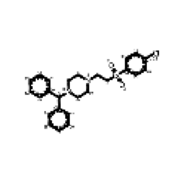 O=S(=O)(CCN1CCN(C(c2ccccc2)c2ccccc2)CC1)c1ccc(Cl)cc1